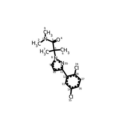 CN(C)C(=O)C(C)(C)n1ccc(-c2cc(Cl)ccc2Cl)n1